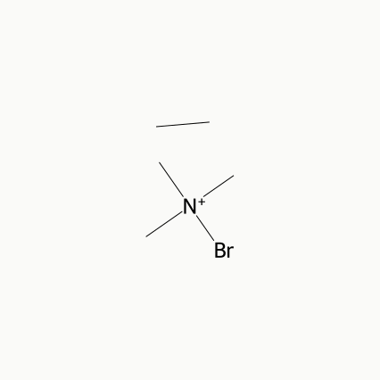 CC.C[N+](C)(C)Br